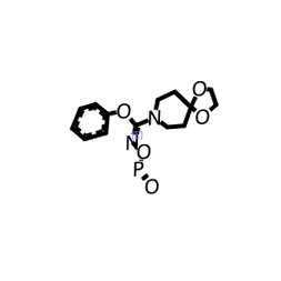 O=PO/N=C(/Oc1ccccc1)N1CCC2(CC1)OCCO2